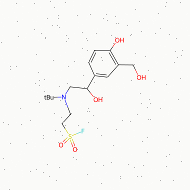 CC(C)(C)N(CCS(=O)(=O)F)CC(O)c1ccc(O)c(CO)c1